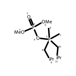 COP(=O)(OC)OP(C)(C)(CC(C)C)CC(C)C